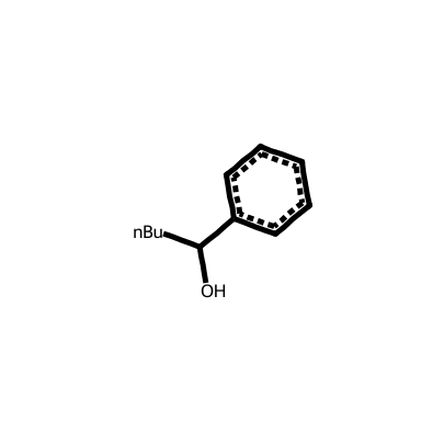 [CH2]CCCC(O)c1ccccc1